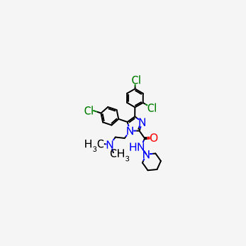 CN(C)CCn1c(C(=O)NN2CCCCC2)nc(-c2ccc(Cl)cc2Cl)c1-c1ccc(Cl)cc1